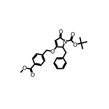 COC(=O)c1ccc(COC2=CC(=O)N(C(=O)OC(C)(C)C)C2Cc2ccccc2)cc1